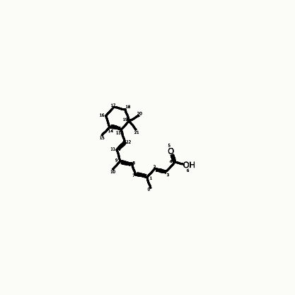 CC(C=CC(=O)O)=CC=C(C)C=CC1=C(C)CCCC1(C)C